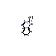 CC[n+]1ccc2ccccc2c1